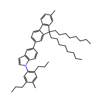 CCCCCCCCC1(CCCCCCCC)c2cc(C)ccc2-c2ccc(-c3ccc4c(ccn4-c4cc(CCC)c(C)cc4CCC)c3)cc21